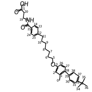 Cc1cc(OCCCCCCCc2ccc(C(=O)NCCC(=O)O)cc2)ccc1-c1ccc(C(C)(C)C)cc1